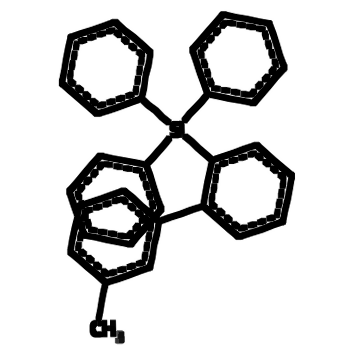 Cc1cccc(-c2ccccc2[Si](c2ccccc2)(c2ccccc2)c2ccccc2)c1